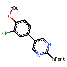 CCCCCc1ncc(-c2ccc(OCCCC)c(Cl)c2)cn1